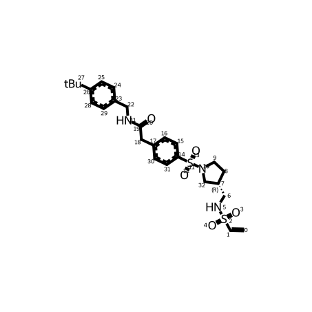 C=CS(=O)(=O)NC[C@H]1CCN(S(=O)(=O)c2ccc(CC(=O)NCc3ccc(C(C)(C)C)cc3)cc2)C1